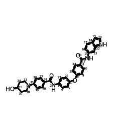 O=C(Nc1ccc(Oc2ccc(C(=O)Nc3ccc4cc[nH]c4c3)cc2)cc1)c1ccc(N2CCC(O)CC2)cc1